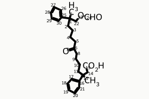 CC(CCCCC(=O)CCCCC(C)(CC(=O)O)c1ccccc1)(COC=O)c1ccccc1